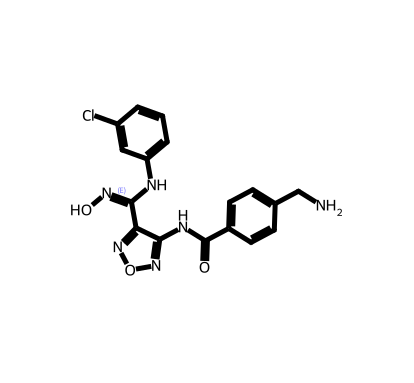 NCc1ccc(C(=O)Nc2nonc2/C(=N\O)Nc2cccc(Cl)c2)cc1